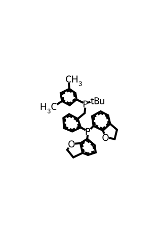 Cc1cc(C)cc(P(Cc2ccccc2P(c2cccc3c2OCC3)c2cccc3c2OCC3)C(C)(C)C)c1